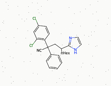 CCCCCCC(CC(C#N)(c1ccccc1)c1ccc(Cl)cc1Cl)c1ncc[nH]1